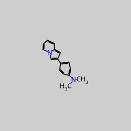 CN(C)c1ccc(-c2cc3ccccn3c2)cc1